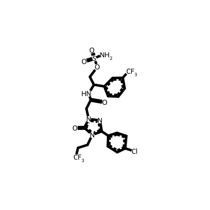 NS(=O)(=O)OCC(NC(=O)Cn1nc(-c2ccc(Cl)cc2)n(CCC(F)(F)F)c1=O)c1cccc(C(F)(F)F)c1